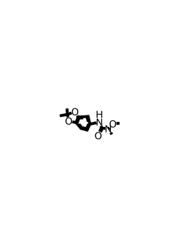 CON(C)C(=O)Nc1ccc2c(c1)OC(C)(C)O2